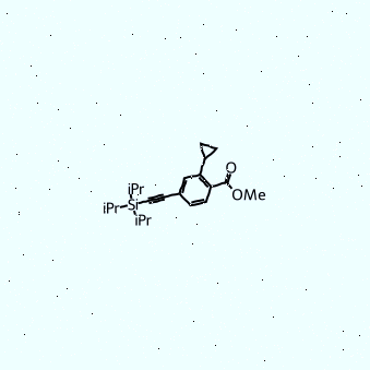 COC(=O)c1ccc(C#C[Si](C(C)C)(C(C)C)C(C)C)cc1C1CC1